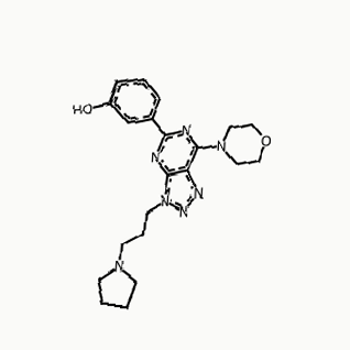 Oc1cccc(-c2nc(N3CCOCC3)c3nnn(CCCN4CCCC4)c3n2)c1